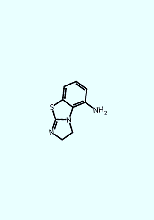 Nc1cccc2c1N1CCN=C1S2